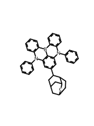 c1ccc(N2c3ccccc3B3c4ccccc4N(c4ccccc4)c4cc(C5CC6CC7CCC5C(C7)C6)cc2c43)cc1